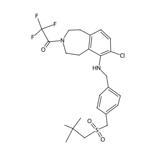 CC(C)(C)CS(=O)(=O)Cc1ccc(CNc2c(Cl)ccc3c2CCN(C(=O)C(F)(F)F)CC3)cc1